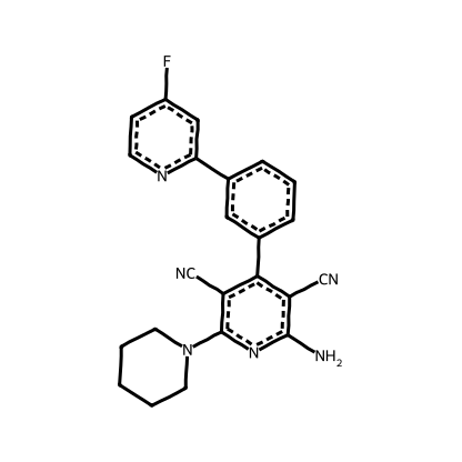 N#Cc1c(N)nc(N2CCCCC2)c(C#N)c1-c1cccc(-c2cc(F)ccn2)c1